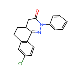 O=C1CC2CCc3cc(Cl)ccc3C2=NN1c1ccccc1